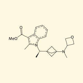 COC(=O)c1c(C)n([C@H](C)C23CC(N(C)C4COC4)(C2)C3)c2ccccc12